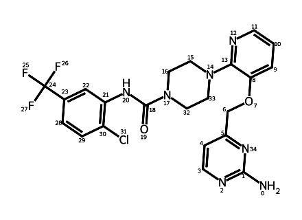 Nc1nccc(COc2cccnc2N2CCN(C(=O)Nc3cc(C(F)(F)F)ccc3Cl)CC2)n1